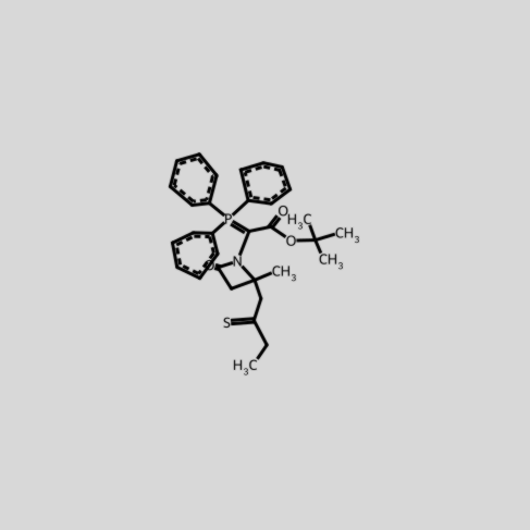 CCC(=S)CC1(C)CC(=O)N1C(C(=O)OC(C)(C)C)=P(c1ccccc1)(c1ccccc1)c1ccccc1